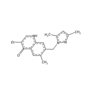 CCc1c[nH]c2cc(Cn3nc(C)cc3C)c(C)cc2c1=O